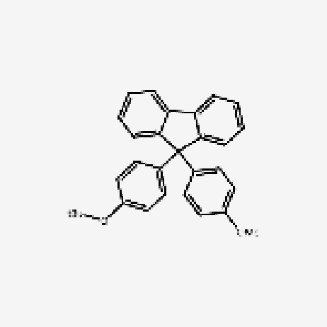 COc1ccc(C2(c3ccc(OC(C)(C)C)cc3)c3ccccc3-c3ccccc32)cc1